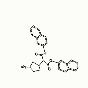 CCCC1CCC(C(C(=O)Oc2ccc3ccccc3c2)C(=O)Oc2ccc3ccccc3c2)C1